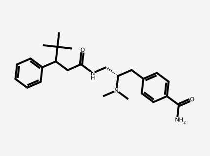 CN(C)[C@H](CNC(=O)CC(c1ccccc1)C(C)(C)C)Cc1ccc(C(N)=O)cc1